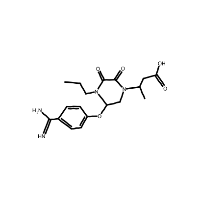 CCCN1C(=O)C(=O)N(C(C)CC(=O)O)CC1Oc1ccc(C(=N)N)cc1